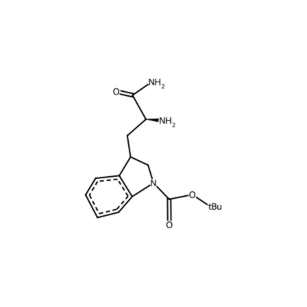 CC(C)(C)OC(=O)N1CC(C[C@H](N)C(N)=O)c2ccccc21